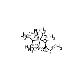 CCC(=O)OP(C(C)C)(C(C)C)(C(C)C)C(C)C